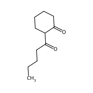 CCCCC(=O)C1CCCCC1=O